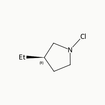 CC[C@@H]1CCN(Cl)C1